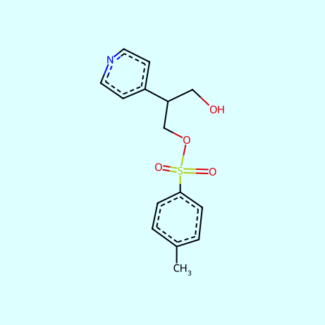 Cc1ccc(S(=O)(=O)OCC(CO)c2ccncc2)cc1